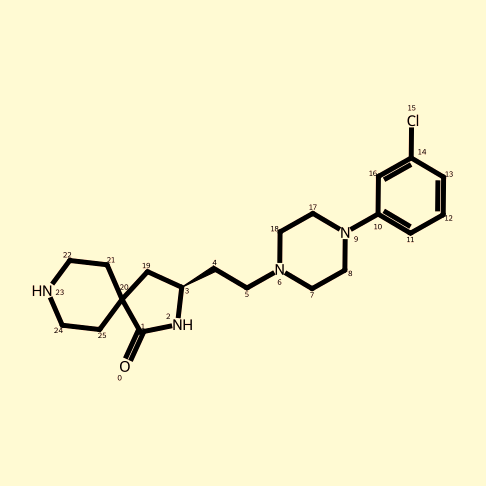 O=C1N[C@H](CCN2CCN(c3cccc(Cl)c3)CC2)CC12CCNCC2